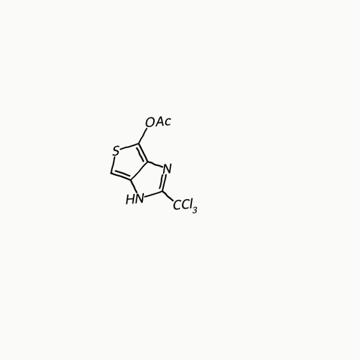 CC(=O)Oc1scc2[nH]c(C(Cl)(Cl)Cl)nc12